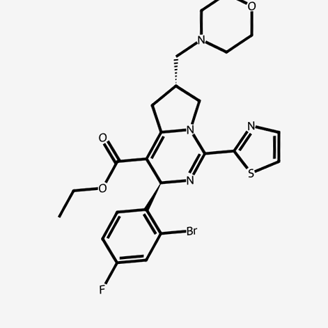 CCOC(=O)C1=C2C[C@H](CN3CCOCC3)CN2C(c2nccs2)=N[C@H]1c1ccc(F)cc1Br